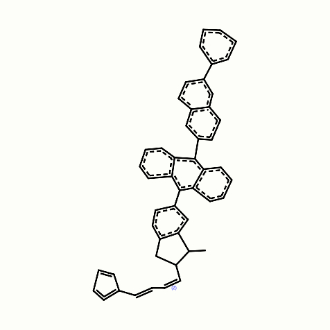 CC1c2cc(-c3c4ccccc4c(-c4ccc5cc(-c6ccccc6)ccc5c4)c4ccccc34)ccc2CC1/C=C\C=CC1=C=CC=C1